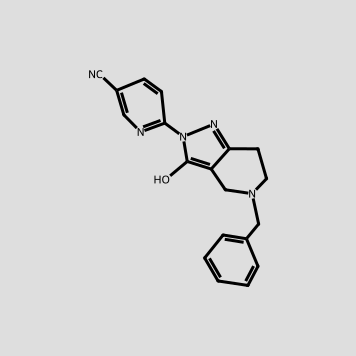 N#Cc1ccc(-n2nc3c(c2O)CN(Cc2ccccc2)CC3)nc1